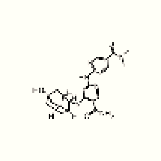 CN(C)C(=O)c1ccc(Nc2cc(N[C@H]3[C@@H]4C[C@H]5C[C@H]3C[C@@](O)(C5)C4)c(C(N)=O)cn2)nc1